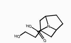 O=C(O)N1C2CCC1CC(CCO)C2